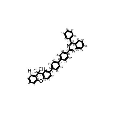 CC1(C)c2ccccc2Oc2ccc(-c3ccc(-c4ccc(-c5nc(-c6ccccc6)c6ccccc6n5)cc4)cc3)cc21